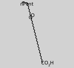 CCCCC/C=C\C/C=C\CCCCCCCC(=O)OCCCCCCCCCCCCCCCCCCCCCCCCCCCCCCC(=O)O